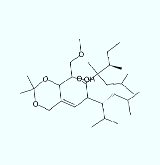 CC[C@@H](C)C(C)(CC(C)C)C(=O)C(/C=C1/COC(C)(C)OC1C(O)COC)[C@H](CC(C)C)C(C)C